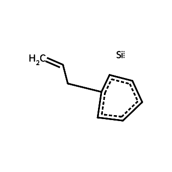 C=CCc1ccccc1.[Si]